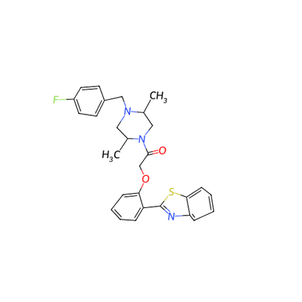 CC1CN(C(=O)COc2ccccc2-c2nc3ccccc3s2)C(C)CN1Cc1ccc(F)cc1